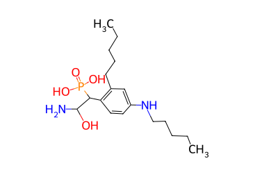 CCCCCNc1ccc(C(C(N)O)P(=O)(O)O)c(CCCCC)c1